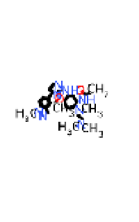 C=CC(=O)NC1=CC(Nc2nccc(-c3ccc4c(cnn4C)c3)n2)=C(OCC)CC=C1N(C)CCN(C)C